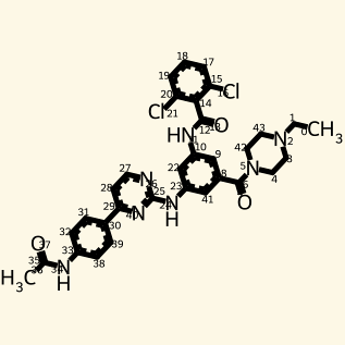 CCN1CCN(C(=O)c2cc(NC(=O)c3c(Cl)cccc3Cl)cc(Nc3nccc(-c4ccc(NC(C)=O)cc4)n3)c2)CC1